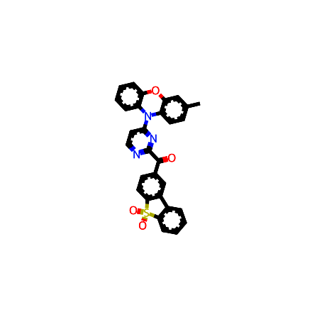 Cc1ccc2c(c1)Oc1ccccc1N2c1ccnc(C(=O)c2ccc3c(c2)-c2ccccc2S3(=O)=O)n1